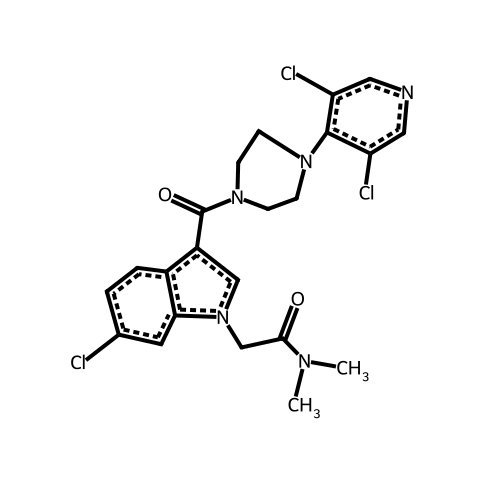 CN(C)C(=O)Cn1cc(C(=O)N2CCN(c3c(Cl)cncc3Cl)CC2)c2ccc(Cl)cc21